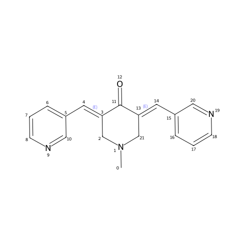 CN1C/C(=C\c2cccnc2)C(=O)/C(=C/c2cccnc2)C1